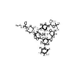 CCOC(=O)N1CCN(C(=O)[C@H](Cc2ccc(C(=O)OC(C)(C)C)cc2)NC(=O)c2cc(OC3CCOC3)nc(-c3ccccc3)n2)CC1